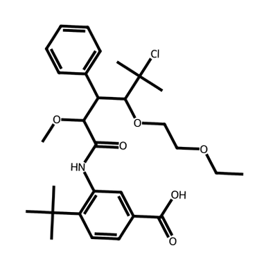 CCOCCOC(C(c1ccccc1)C(OC)C(=O)Nc1cc(C(=O)O)ccc1C(C)(C)C)C(C)(C)Cl